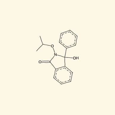 CC(C)ON1C(=O)c2ccccc2C1(O)c1ccccc1